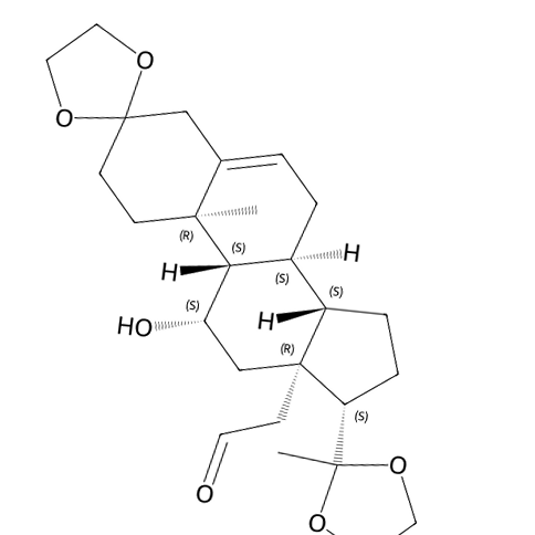 CC1([C@H]2CC[C@H]3[C@@H]4CC=C5CC6(CC[C@]5(C)[C@H]4[C@@H](O)C[C@]23CC=O)OCCO6)OCCO1